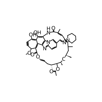 COC1C#CC(O)=c2c(O)c3c4c(nc5ccc(/C=N/N6CCCCC6)cn54)c2=C1C(=O)O/C=C/C[C@@H](C)C(OC(C)=O)[C@H](C)C[C@H](C)CC(C)/C=C/C=C(/C)C(=O)N3